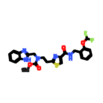 CC(C)(C)OC(=O)N(CCc1nc(C(=O)NCc2ccccc2OC(F)F)cs1)Cc1nc2ccccc2[nH]1